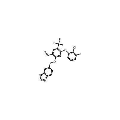 O=Cc1cc(C(F)(F)F)c(Oc2cccc(I)c2Cl)nc1OCc1ccc2nonc2c1